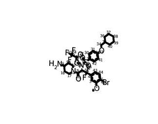 COc1cc(C(F)(F)[C@H](C(=O)N2CCC(N)CC2)N(OC(=O)C(F)(F)F)S(=O)(=O)c2ccc(OCC3CCCCC3)cc2)ccc1Br